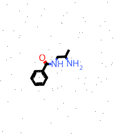 CC(N)CNC(=O)c1ccccc1